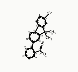 CC1(C)c2cc(Br)ccc2-c2ccc(-c3ncccc3[N+](=O)[O-])cc21